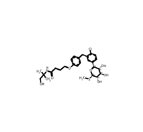 CS[C@H]1O[C@@H](c2ccc(Cl)c(Cc3ccc(OCCCC(=O)NC(C)(C)CO)cc3)c2)[C@H](O)[C@@H](O)[C@@H]1O